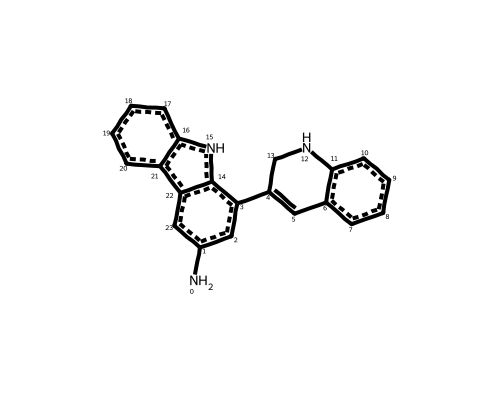 Nc1cc(C2=Cc3ccccc3NC2)c2[nH]c3ccccc3c2c1